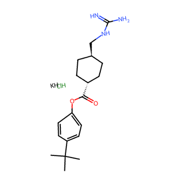 CC(C)(C)c1ccc(OC(=O)[C@H]2CC[C@H](CNC(=N)N)CC2)cc1.Cl.[KH]